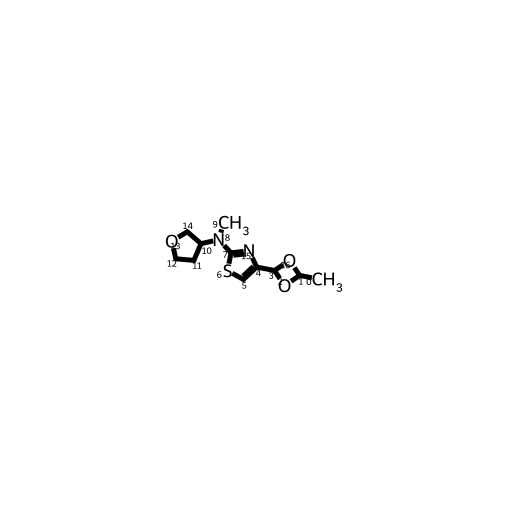 CC1OC(c2csc(N(C)C3CCOC3)n2)O1